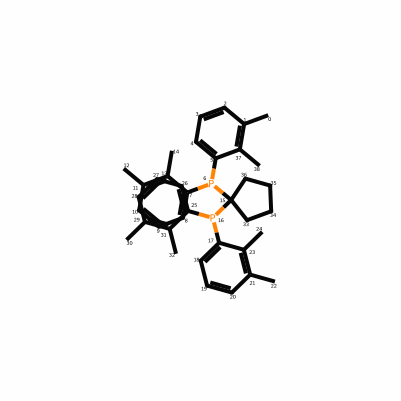 Cc1cccc(P(c2cccc(C)c2C)C2(P(c3cccc(C)c3C)c3cccc(C)c3C)CCCC2)c1C